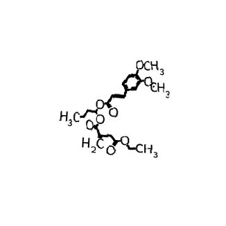 C=C(CC(=O)OCC)C(=O)OC(CCC)OC(=O)/C=C/c1ccc(OC)c(OC)c1